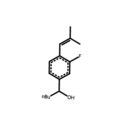 CCCCC(O)c1ccc(C=C(C)C)c(F)c1